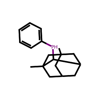 CC12CC3CC(C1)C(Pc1ccccc1)C(C)(C3)C2